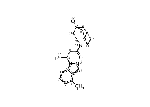 Cc1cccc2c1nnn2C(CC(=O)N1C2CC3CC1CC(O)(C3)C2)C(C)C